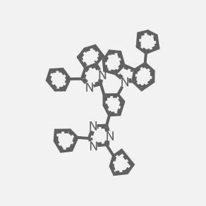 c1ccc(-c2nc(-c3ccccc3)nc(-c3ccc(-n4c5ccccc5c5c(-c6ccccc6)cccc54)c(-c4nc(-c5ccccc5)c5ccccc5n4)c3)n2)cc1